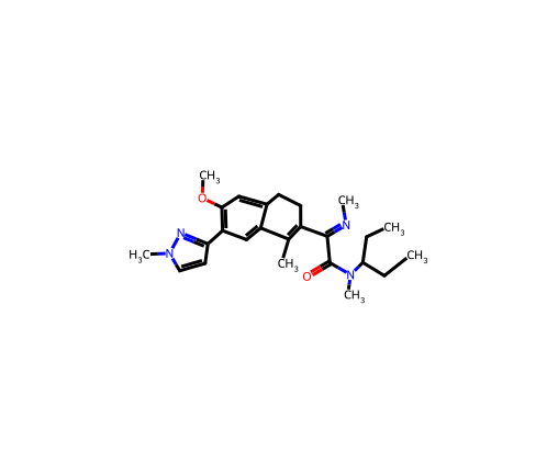 CCC(CC)N(C)C(=O)/C(=N/C)C1=C(C)c2cc(-c3ccn(C)n3)c(OC)cc2CC1